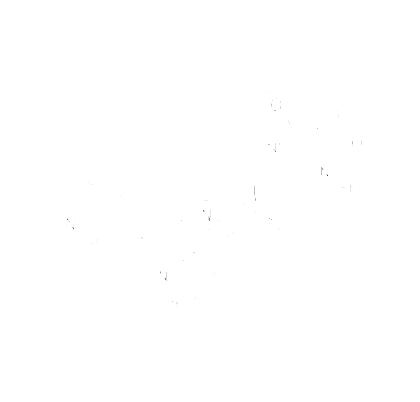 CCN1C(=O)C(C)(C)C(=O)N(C)c2cc(CNC(CCc3cccnc3)c3cscn3)ccc21